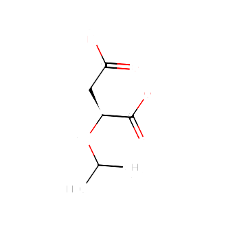 CC(C)O[C@@H](CC(=O)O)C(=O)O